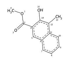 COC(=O)c1cc2ccccc2c(C)c1O